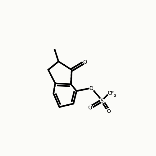 CC1Cc2cccc(OS(=O)(=O)C(F)(F)F)c2C1=O